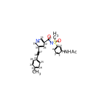 CC(=O)Nc1cccc(S(C)(=O)=NC(=O)c2cncc(C#Cc3ccc(C)cc3)c2)c1